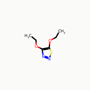 CCOc1nnsc1OCC